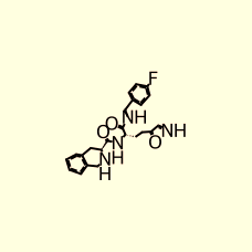 N=CC(=O)CC[C@H](NC(=O)[C@@H]1Cc2ccccc2CN1)C(=O)NCc1ccc(F)cc1